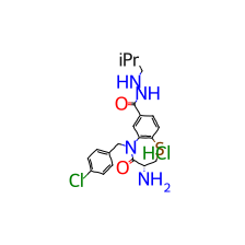 CC(C)CNNC(=O)c1ccc2c(c1)N(Cc1ccc(Cl)cc1)C(=O)[C@@H](N)CS2.Cl